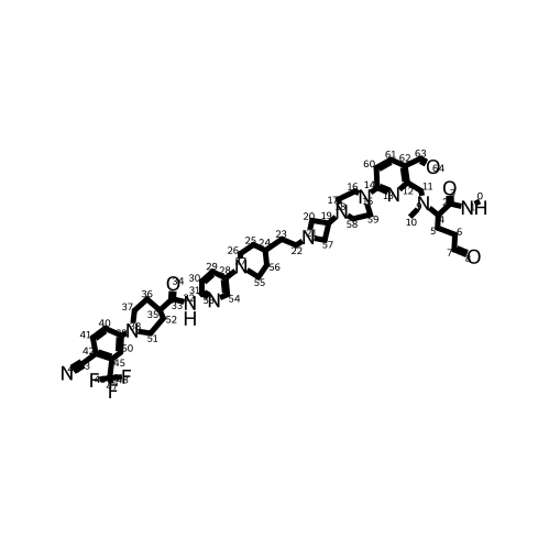 CNC(=O)C(CCC=O)N(C)Cc1nc(N2CCN(C3CN(CCC4CCN(c5ccc(NC(=O)C6CCN(c7ccc(C#N)c(C(F)(F)F)c7)CC6)nc5)CC4)C3)CC2)ccc1C=O